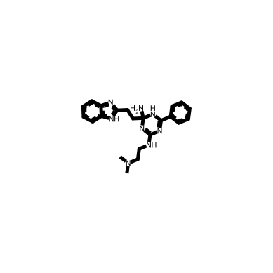 CN(C)CCNC1=NC(N)(CCc2nc3ccccc3[nH]2)NC(c2ccccc2)=N1